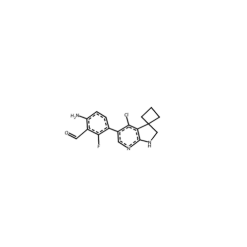 Nc1ccc(-c2cnc3c(c2Cl)C2(CCC2)CN3)c(F)c1C=O